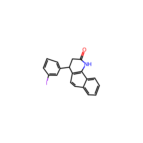 O=C1CC(c2cccc(I)c2)c2ccc3ccccc3c2N1